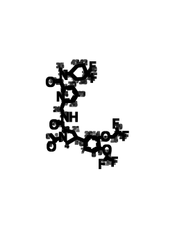 CC(=O)N1CC(c2ccc(OC(F)F)c(OCC(F)F)c2)C[C@@H]1C(=O)NCc1cccc(C(=O)N(C)C2CCC(F)(F)CC2)n1